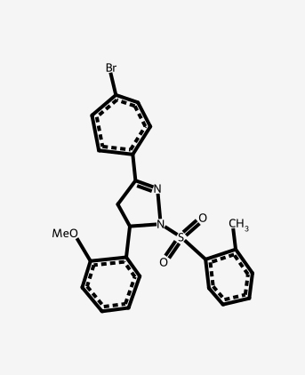 COc1ccccc1C1CC(c2ccc(Br)cc2)=NN1S(=O)(=O)c1ccccc1C